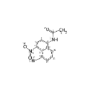 CC(=O)Nc1ccc([N+](=O)[O-])c2c(Br)cccc12